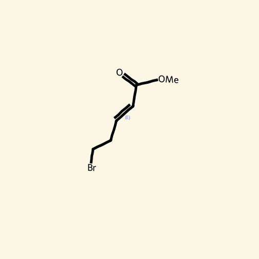 COC(=O)/C=C/CCBr